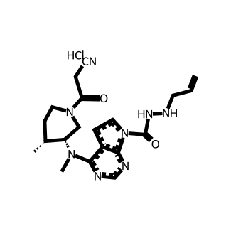 C=CCNNC(=O)n1ccc2c(N(C)[C@H]3CN(C(=O)CC#N)CC[C@H]3C)ncnc21.Cl